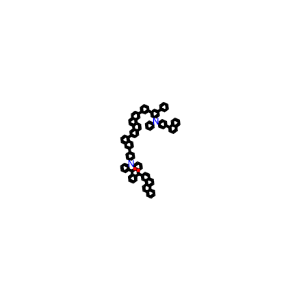 c1ccc(-c2cc(-c3cccc(-c4ccc5ccc6c7cc(-c8cccc9cc(-c%10ccc(N(c%11ccccc%11)c%11ccccc%11-c%11ccc(-c%12ccc%13ccc%14c%15ccccc%15ccc%14c%13c%12)c%12ccccc%11%12)cc%10)ccc89)ccc7ccc6c5c4)c3)cc(N(c3ccccc3)c3ccc(-c4cccc5ccccc45)cc3)c2)cc1